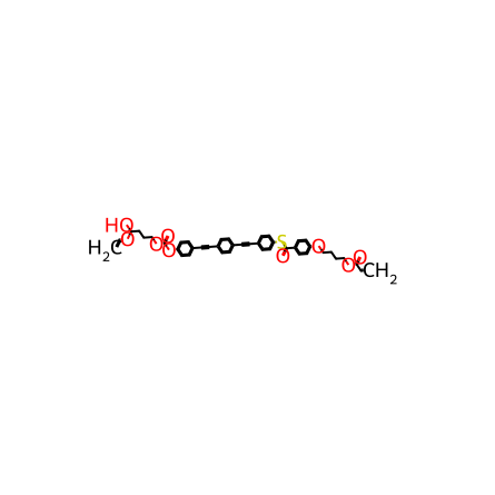 C=COC(O)CCCOC(=O)Oc1ccc(C#Cc2ccc(C#Cc3ccc(SC(=O)c4ccc(OCCCCOC(=O)C=C)cc4)cc3)cc2)cc1